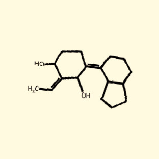 CC=C1C(O)CCC(=C2CCCC3CCCC23)C1O